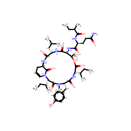 CCC(C)C(=O)N[C@@H](CCC(N)=O)C(=O)N[C@@H]1C(=O)N[C@@H](CC(C)C)C(=O)N[C@H]2CC=CN(C2=O)[C@@H](C(C)CC)C(=O)N(C)[C@@H](Cc2ccc(O)cc2)C(=O)N[C@@H](C(C)CC)C(=O)OC1C